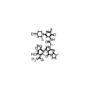 CCN1CCN(c2cc(NC(=O)Cn3cc(-c4cc(C(N)=O)c(O)c5c4OCO5)c4c(=O)n5c(nc43)CCC5)c(Cl)c(F)n2)[C@@H](C)C1